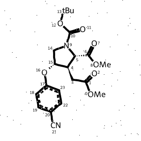 COC(=O)C[C@@H]1[C@@H](C(=O)OC)N(C(=O)OC(C)(C)C)C[C@H]1Oc1ccc(C#N)cc1